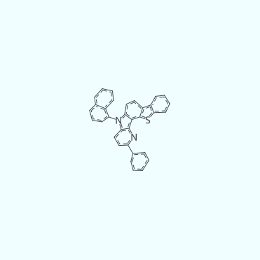 c1ccc(-c2ccc3c(n2)c2c4sc5ccccc5c4ccc2n3-c2cccc3ccccc23)cc1